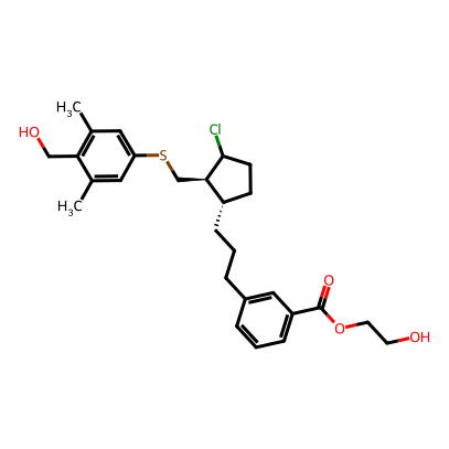 Cc1cc(SC[C@H]2C(Cl)CC[C@@H]2CCCc2cccc(C(=O)OCCO)c2)cc(C)c1CO